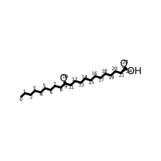 CCCCCCCCCC(=O)CCCCCCCCCCCC(=O)O